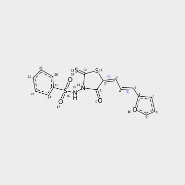 O=C1/C(=C\C=C\c2ccco2)SC(=S)N1NS(=O)(=O)c1ccccc1